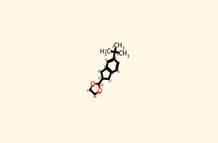 CC(C)(C)c1ccc2c(c1)CC(C1OCCO1)C2